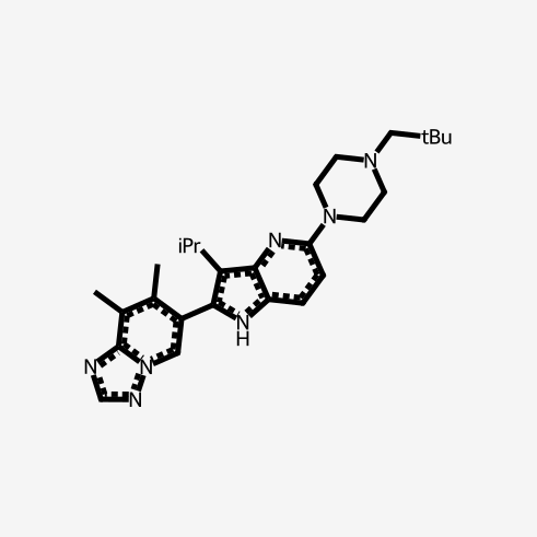 Cc1c(-c2[nH]c3ccc(N4CCN(CC(C)(C)C)CC4)nc3c2C(C)C)cn2ncnc2c1C